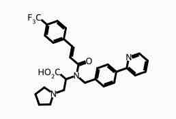 O=C(O)C(CN1CCCC1)N(Cc1ccc(-c2ccccn2)cc1)C(=O)/C=C/c1ccc(C(F)(F)F)cc1